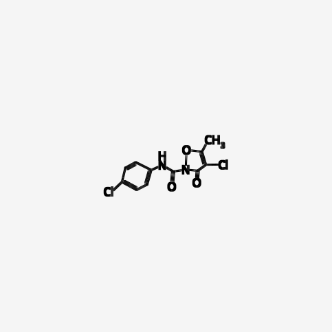 Cc1on(C(=O)Nc2ccc(Cl)cc2)c(=O)c1Cl